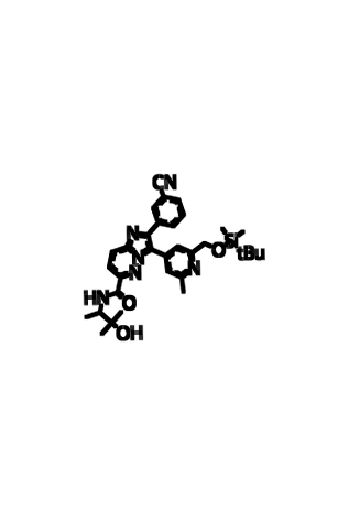 Cc1cc(-c2c(-c3cccc(C#N)c3)nc3ccc(C(=O)NC(C)C(C)(C)O)nn23)cc(CO[Si](C)(C)C(C)(C)C)n1